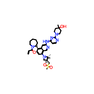 C=CC(=O)N1CCCCC[C@H]1c1ccc(N2C[C@H](CS(C)(=O)=O)[C@H]2C)c2cnc(Nc3ccnc(N4CCC(C)(O)CC4)n3)cc12